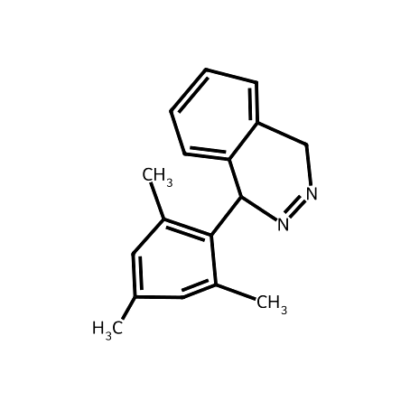 Cc1cc(C)c(C2N=NCc3ccccc32)c(C)c1